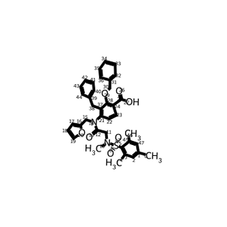 Cc1cc(C)c(S(=O)(=O)N(C)CC(=O)N(Cc2ccco2)c2ccc(C(=O)O)c(OCc3ccccc3)c2Cc2ccccc2)c(C)c1